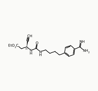 C#C[C@H](CC(=O)OCC)NC(=O)NCCCCc1ccc(C(=N)N)cc1